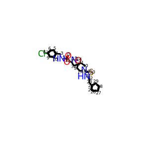 O=C(NCc1ccc(Cl)cc1)OC1=NOC2(CCN(C(=S)NCCc3ccccc3)CC2)C1